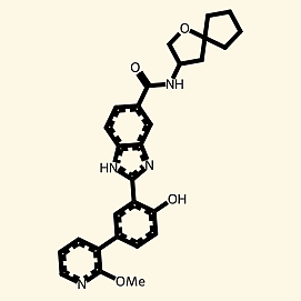 COc1ncccc1-c1ccc(O)c(-c2nc3cc(C(=O)NC4COC5(CCCC5)C4)ccc3[nH]2)c1